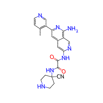 Cc1ccncc1-c1cc2cc(NC(=O)C(=O)NC3(C#N)CCNCC3)ncc2c(N)n1